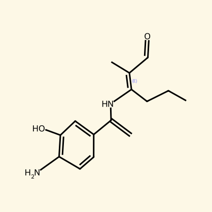 C=C(N/C(CCC)=C(\C)C=O)c1ccc(N)c(O)c1